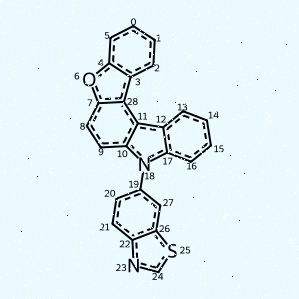 c1ccc2c(c1)oc1ccc3c(c4ccccc4n3-c3ccc4ncsc4c3)c12